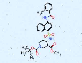 COC(=O)[C@H]1CN(C(=O)OC(C)(C)C)CC[C@@H]1NS(=O)(=O)c1ccc(NC(=O)c2ccccc2C)c2ccccc12